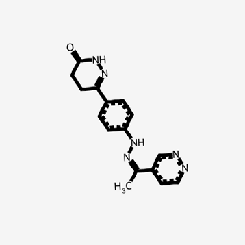 CC(=NNc1ccc(C2=NNC(=O)CC2)cc1)c1ccnnc1